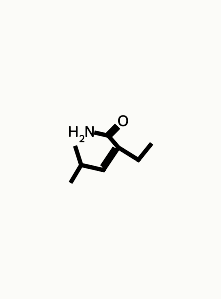 CCC(=CC(C)C)C(N)=O